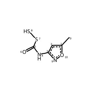 Cc1cc(NC(=O)SS)no1